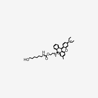 CC[N+](CC)=c1ccc2c(-c3ccccc3C(=O)N(C)CCOC(=O)NCCCCCCO)c3ccc(C)cc3oc-2c1